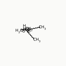 C=CC(=O)NC(C)CC(CCCCCCCCCC)S(=O)(=O)OCCCCCCCCCC